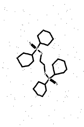 S=P(SCCSP(=S)(C1CCCCC1)C1CCCCC1)(C1CCCCC1)C1CCCCC1